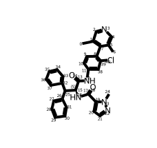 Cc1cncc(C)c1-c1ccc(NC(=O)[C@@H](NC(=O)c2ccnn2C)C(c2ccccc2)c2ccccc2)cc1Cl